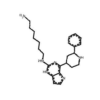 NCCCCCCCNc1nc(C2CCNC(c3ccccc3)C2)c2nccc-2[nH]1